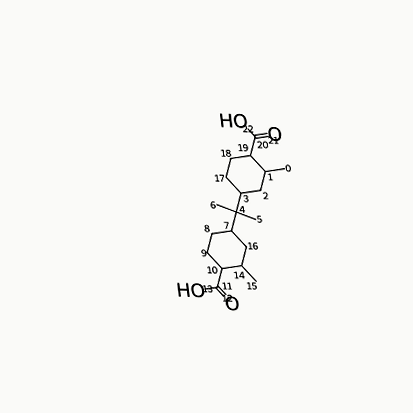 CC1CC(C(C)(C)C2CCC(C(=O)O)C(C)C2)CCC1C(=O)O